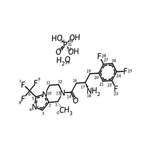 C[C@@H]1c2cnc(C(F)(F)F)n2CCN1C(=O)C[C@H](N)Cc1cc(F)c(F)cc1F.O.O=P(O)(O)O